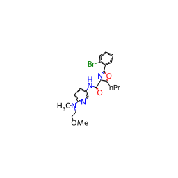 CCCc1oc(-c2ccccc2Br)nc1C(=O)Nc1ccc(N(C)CCOC)nc1